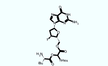 CCCCCCC(OC(=O)[C@@H](N)[C@@H](C)CC)C(=O)OC[C@H]1O[C@@H](n2cnc3c(=O)[nH]c(N)nc32)C[C@@H]1F